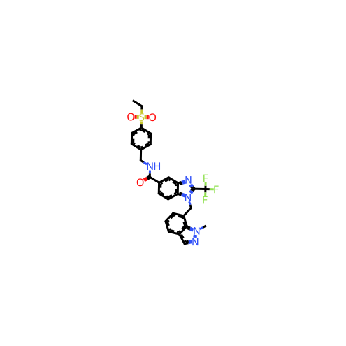 CCS(=O)(=O)c1ccc(CNC(=O)c2ccc3c(c2)nc(C(F)(F)F)n3Cc2cccc3cnn(C)c23)cc1